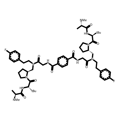 CN[C@@H](C)C(=O)N[C@H](C(=O)N1CCC[C@H]1CN(CCc1ccc(F)cc1)C(=O)CNC(=O)c1ccc(C(=O)NCC(=O)N(CCc2ccc(F)cc2)C[C@@H]2CCCN2C(=O)[C@@H](NC(=O)[C@H](C)NC)C(C)(C)C)cc1)C(C)(C)C